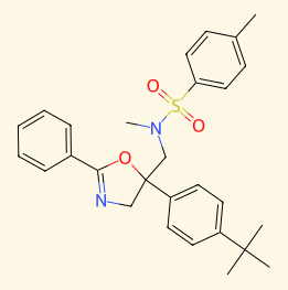 Cc1ccc(S(=O)(=O)N(C)CC2(c3ccc(C(C)(C)C)cc3)CN=C(c3ccccc3)O2)cc1